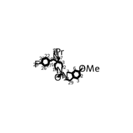 COc1ccc2c(c1)CN(C(=O)N1CCC3(CC1)CN(C(C)C)C3c1ccc(F)cc1)CC2